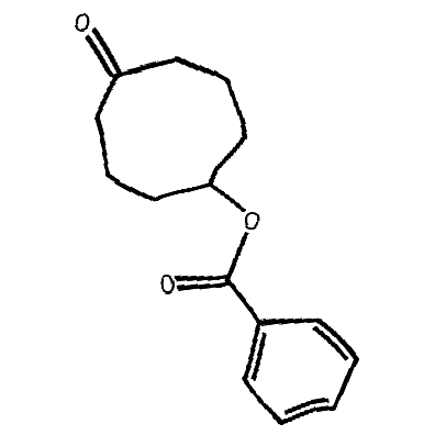 O=C1CCCC(OC(=O)c2ccccc2)CCC1